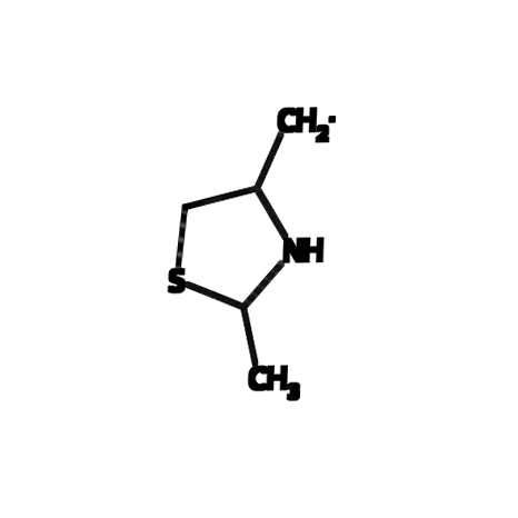 [CH2]C1CSC(C)N1